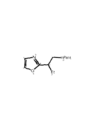 CCCCCCC(CC)c1ncco1